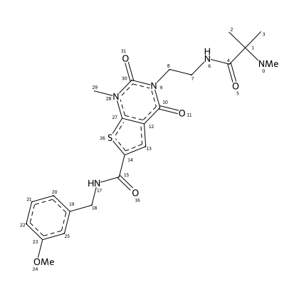 CNC(C)(C)C(=O)NCCn1c(=O)c2cc(C(=O)NCc3cccc(OC)c3)sc2n(C)c1=O